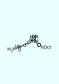 CCCCCCCCc1ccc(CCC(CO)(CO)NC(=O)COCCOCCNC(=O)CCP)cc1